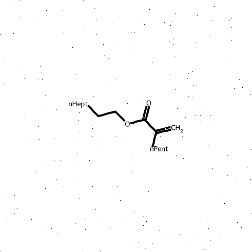 C=C(CCCCC)C(=O)OCCCCCCCCC